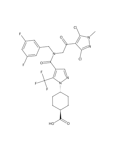 Cn1nc(Cl)c(C(=O)CN(Cc2cc(F)cc(F)c2)C(=O)c2cnn([C@H]3CC[C@H](C(=O)O)CC3)c2C(F)(F)F)c1Cl